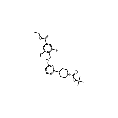 C=C(OCC)c1cc(F)c(COc2cccc(C3CCN(C(=O)OC(C)(C)C)CC3)n2)c(F)c1